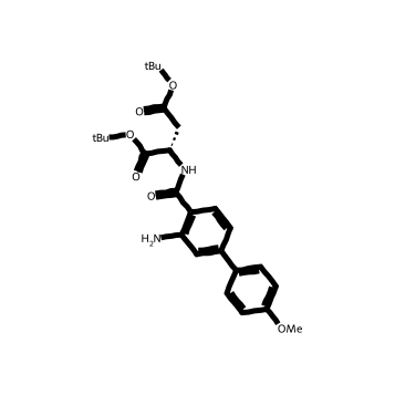 COc1ccc(-c2ccc(C(=O)N[C@@H](CC(=O)OC(C)(C)C)C(=O)OC(C)(C)C)c(N)c2)cc1